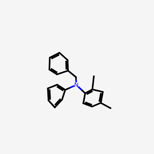 Cc1ccc(N(Cc2ccccc2)c2ccccc2)c(C)c1